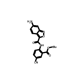 CC(C)(C)OC(=O)c1cc(C#N)ccc1NC(=O)c1onc2cc(N)ccc12